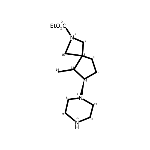 CCOC(=O)N1CC2(CC[C@@H](N3CCNCC3)C2C)C1